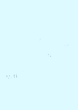 CNc1ccc(N2CC(C)OC(C)C2F)cc1